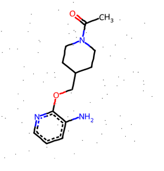 CC(=O)N1CCC(COc2ncccc2N)CC1